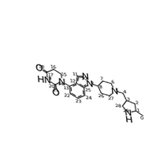 CC1CC(CN2CCC(n3ncc4c(N5CCC(=O)NC5=O)cccc43)CC2)CN1